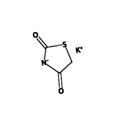 O=C1CSC(=O)[N-]1.[K+]